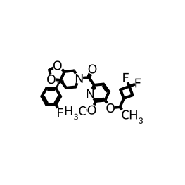 COc1nc(C(=O)N2CC[C@]3(c4cccc(F)c4)OCOC3C2)ccc1OC(C)C1CC(F)(F)C1